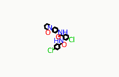 O=C(Nc1cc(Cl)ccc1C(=O)Nc1ccc(N2CCCCC2=O)cc1)c1ccc(Cl)cc1